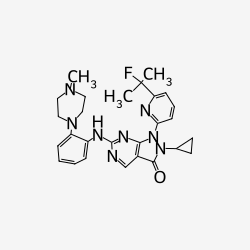 CN1CCN(c2ccccc2Nc2ncc3c(=O)n(C4CC4)n(-c4cccc(C(C)(C)F)n4)c3n2)CC1